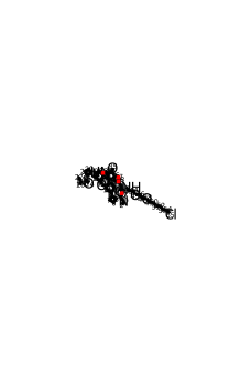 CN(C)C(=O)[C@@H]1CCN1c1ccc2c(c1)Oc1cc(N3CC[C@H]3C(=O)N(C)C)ccc1C21C(=N)C(=O)c2ccc(C(=O)NCCOCCOCCCCCCCl)cc21